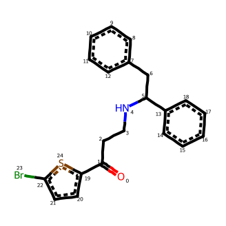 O=C(CCNC(Cc1ccccc1)c1ccccc1)c1ccc(Br)s1